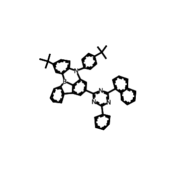 CC(C)(C)c1ccc(N2c3ccc(C(C)(C)C)cc3B3c4ccccc4-c4cc(-c5nc(-c6ccccc6)nc(-c6cccc7ccccc67)n5)cc2c43)cc1